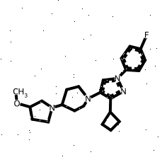 COC1CCN(C2CCN(c3cn(-c4ccc(F)cc4)nc3C3CCC3)CC2)C1